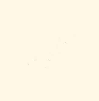 O=C(Cc1cn(-c2ccc(-c3noc(C(F)(F)F)n3)cc2)cn1)N1CCCC1